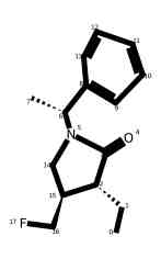 CC[C@H]1C(=O)N([C@H](C)c2ccccc2)C[C@@H]1CF